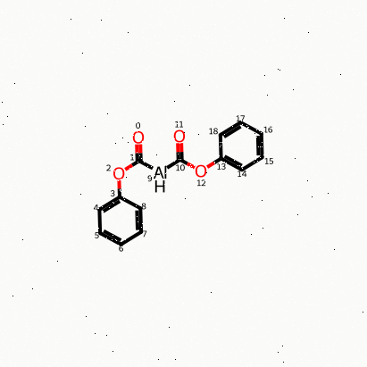 O=[C](Oc1ccccc1)[AlH][C](=O)Oc1ccccc1